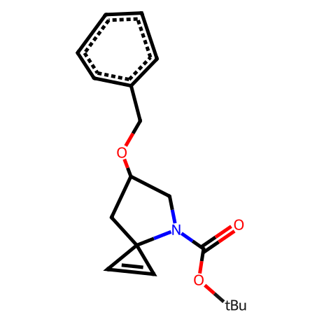 CC(C)(C)OC(=O)N1CC(OCc2ccccc2)CC12C=C2